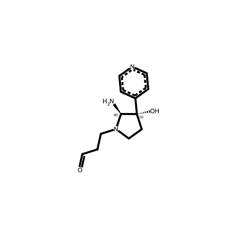 N[C@@H]1N(CCC=O)CC[C@]1(O)c1ccncc1